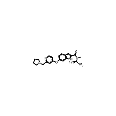 CN(C(=N)N)C(=O)c1cc2ccc(Oc3ccnc(CN4CCCC4)c3)cc2[nH]1